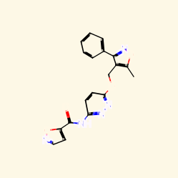 Cc1onc(-c2ccccc2)c1COc1ccc(NC(=O)c2ccno2)nn1